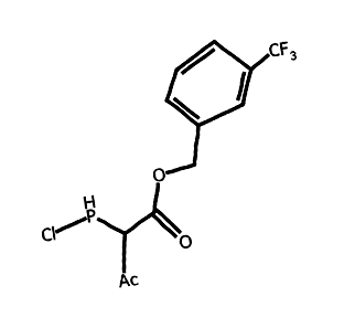 CC(=O)C(PCl)C(=O)OCc1cccc(C(F)(F)F)c1